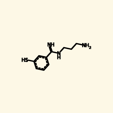 N=C(NCCCN)c1cccc(S)c1